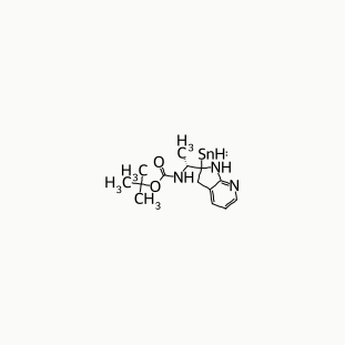 C[C@@H](NC(=O)OC(C)(C)C)[C]1([SnH])Cc2cccnc2N1